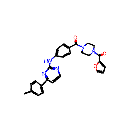 Cc1ccc(-c2ccnc(Nc3ccc(C(=O)N4CCN(C(=O)c5ccco5)CC4)cc3)n2)cc1